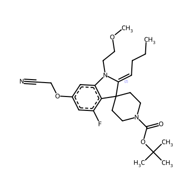 CCC/C=C1\N(CCOC)c2cc(OCC#N)cc(F)c2C12CCN(C(=O)OC(C)(C)C)CC2